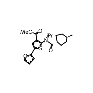 COC(=O)c1cc(-c2ccco2)sc1N(C(=O)[C@H]1CC[C@H](C)CC1)C(C)C